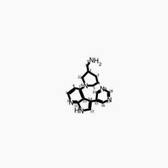 NCC1CCCN(c2ccnc3[nH]cc(-c4cncnc4)c23)C1